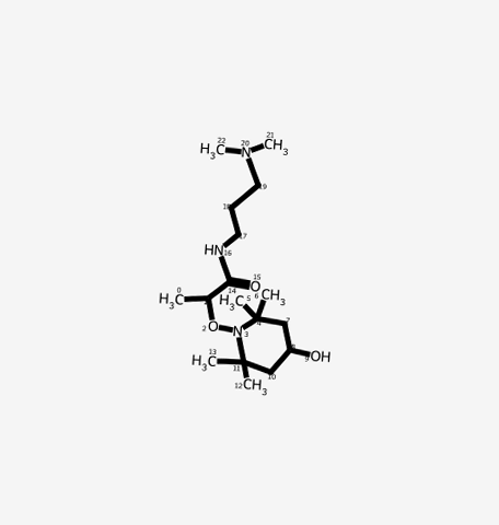 CC(ON1C(C)(C)CC(O)CC1(C)C)C(=O)NCCCN(C)C